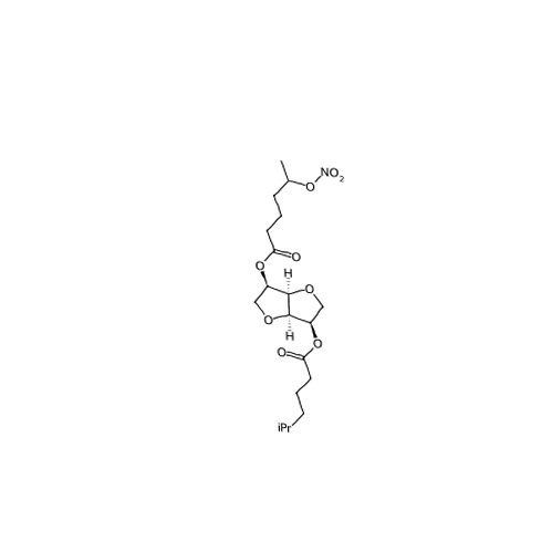 CC(C)CCCC(=O)O[C@@H]1CO[C@H]2[C@@H]1OC[C@H]2OC(=O)CCCC(C)O[N+](=O)[O-]